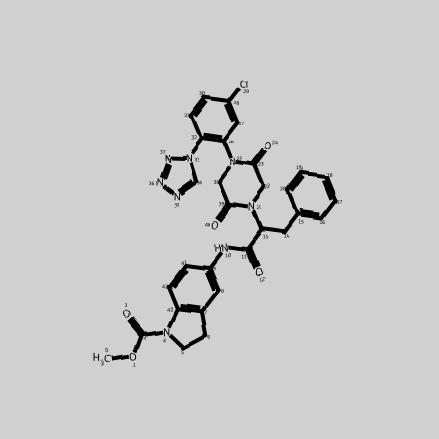 COC(=O)N1CCc2cc(NC(=O)C(Cc3ccccc3)N3CC(=O)N(c4cc(Cl)ccc4-n4cnnn4)CC3=O)ccc21